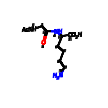 CC(=O)NCC(=O)NC(CCCCN)C(=O)O